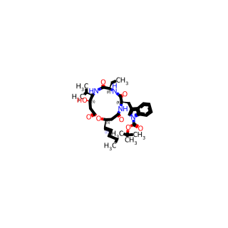 CCC/C=C/[C@@H]1CC(=O)N[C@H](Cc2cn(C(=O)OC(C)(C)C)c3ccccc23)C(=O)N[C@H](CC)C(=O)N[C@H](C(C)C)[C@@H](O)CC(=O)O1